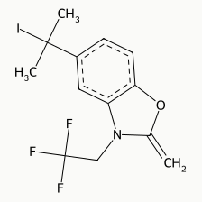 C=C1Oc2ccc(C(C)(C)I)cc2N1CC(F)(F)F